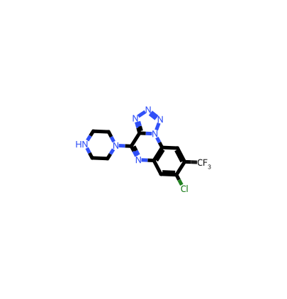 FC(F)(F)c1cc2c(cc1Cl)nc(N1CCNCC1)c1nnnn12